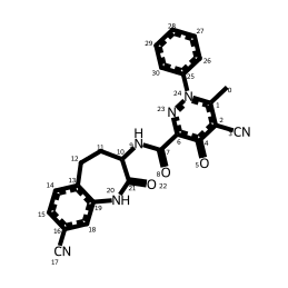 Cc1c(C#N)c(=O)c(C(=O)NC2CCc3ccc(C#N)cc3NC2=O)nn1-c1ccccc1